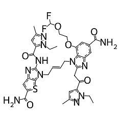 CCn1nc(C)cc1C(=O)Cc1nc2cc(C(N)=O)cc(OCCOC(F)F)c2n1C/C=C/Cn1c(NC(=O)c2cc(C)nn2CC)nc2cc(C(N)=O)sc21